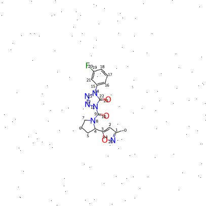 Cc1cc(C2CCCN2C(=O)n2nnn(-c3cccc(F)c3)c2=O)on1